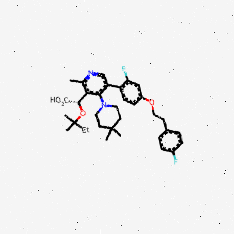 CCC(C)(C)O[C@H](C(=O)O)c1c(C)ncc(-c2ccc(OCCc3ccc(F)cc3)cc2F)c1N1CCC(C)(C)CC1